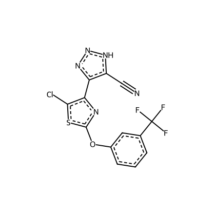 N#Cc1[nH]nnc1-c1nc(Oc2cccc(C(F)(F)F)c2)sc1Cl